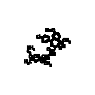 COc1ccc2c(c1)C(c1ccc(Cl)cc1)=N[C@@H](CC(=O)NCCC(C)(C)OCCC(C)(C)OCCN)c1nnc(C)n1-2